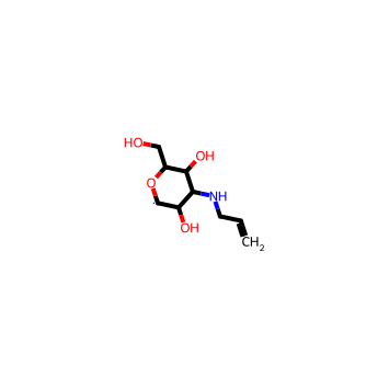 C=CCNC1C(O)[CH]OC(CO)C1O